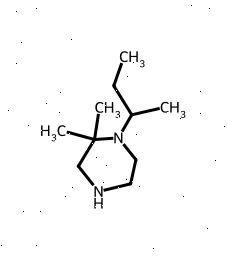 CCC(C)N1CCNCC1(C)C